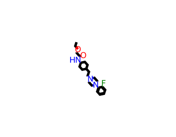 CCOCC(=O)NC1CCC(CCN2CCN(c3ccccc3F)CC2)CC1